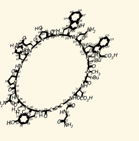 CCCC[C@H]1C(=O)N(C)[C@@H](CCCC)C(=O)N[C@@H](CC(=O)O)C(=O)N[C@H](C(=O)NCC(N)=O)CSCC(=O)N[C@@H](Cc2ccc(O)cc2)C(=O)N(C)[C@@H](C)C(=O)N[C@@H](CC(N)=O)C(=O)N2CCCC2C(=O)N[C@@H](Cc2cnc[nH]2)C(=O)N[C@@H](CCC(N)=O)C(=O)N2C[C@H](O)C[C@H]2C(=O)N[C@@H](Cc2c[nH]c3ccccc23)C(=O)N[C@@H](CCN)C(=O)N[C@@H](Cc2cn(CC(=O)O)c3ccccc23)C(=O)N1C